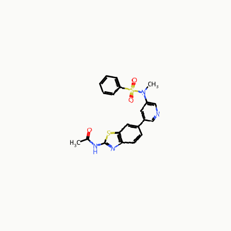 CC(=O)Nc1nc2ccc(-c3cncc(N(C)S(=O)(=O)c4ccccc4)c3)cc2s1